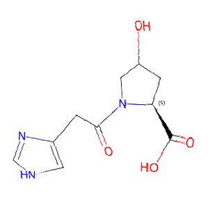 O=C(O)[C@@H]1CC(O)CN1C(=O)Cc1c[nH]cn1